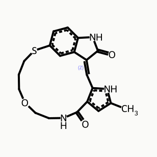 Cc1cc2c([nH]1)/C=C1\C(=O)Nc3ccc(cc31)SCCCOCCNC2=O